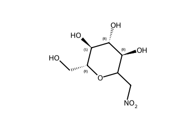 O=[N+]([O-])CC1O[C@H](CO)[C@@H](O)[C@H](O)[C@H]1O